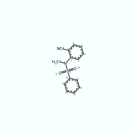 CN(c1ccccc1C#N)S(=O)(=O)c1ccccc1